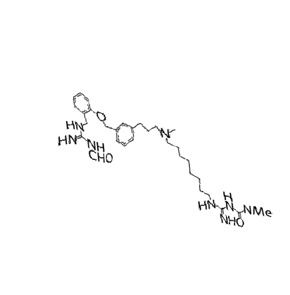 CNC(=O)NC(=N)NCCCCCCCCN(C)CCCc1cccc(COc2ccccc2CNC(=N)NC=O)c1